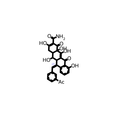 CC(=O)c1cccc(/C=C2\c3cccc(O)c3C(=O)C3=C(O)C4(O)C(=O)C(C(N)=O)=C(O)CC4C(O)C32)c1